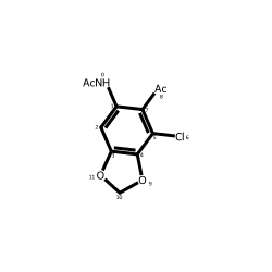 CC(=O)Nc1cc2c(c(Cl)c1C(C)=O)OCO2